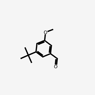 COc1cc(C=O)cc(C(C)(C)C)c1